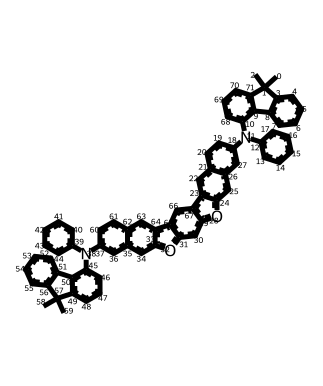 CC1(C)c2ccccc2-c2c(N(c3ccccc3)c3ccc4cc5c(cc4c3)oc3cc4oc6cc7cc(N(c8ccccc8)c8cccc9c8-c8ccccc8C9(C)C)ccc7cc6c4cc35)cccc21